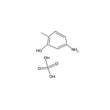 Cc1ccc(N)cc1O.O=S(=O)(O)O